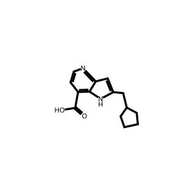 O=C(O)c1ccnc2cc(CC3CCCC3)[nH]c12